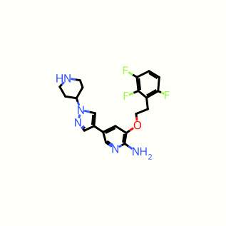 Nc1ncc(-c2cnn(C3CCNCC3)c2)cc1OCCc1c(F)ccc(F)c1F